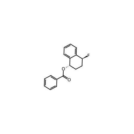 O=C(O[C@H]1CC[C@H](F)c2ccccc21)c1ccccc1